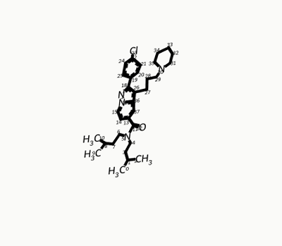 CC(C)CCN(CCC(C)C)C(=O)c1ccn2nc(-c3ccc(Cl)cc3)c(CCCN3CCCCC3)c2c1